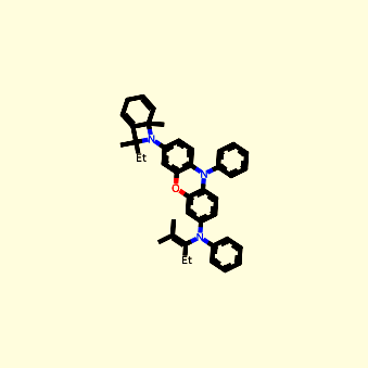 CCC(=C(C)C)N(c1ccccc1)c1ccc2c(c1)Oc1cc(N3C4(C)C=CCC=C4C3(C)CC)ccc1N2c1ccccc1